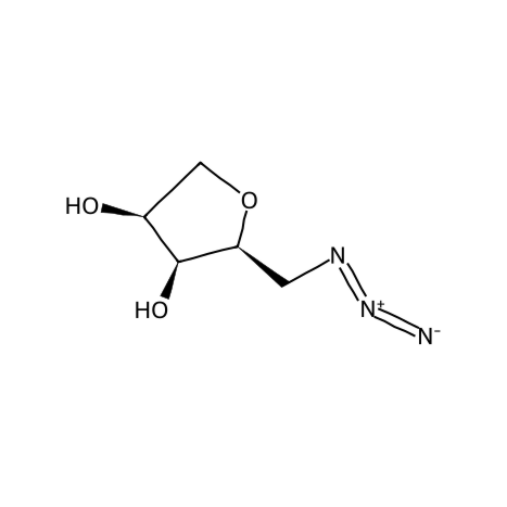 [N-]=[N+]=NC[C@@H]1OC[C@H](O)[C@@H]1O